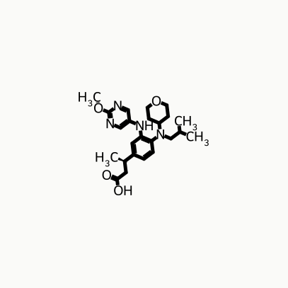 COc1ncc(Nc2cc([C@H](C)CC(=O)O)ccc2N(CC(C)C)C2CCOCC2)cn1